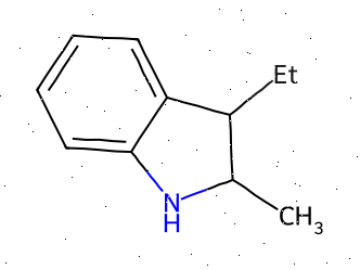 CCC1c2ccccc2NC1C